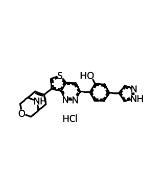 Cl.Oc1cc(-c2cn[nH]c2)ccc1-c1cc2scc(C3=CC4COCC(C3)N4)c2nn1